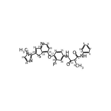 CC(C(=O)Nc1ccccc1)C(=O)Nc1ccc(Oc2ccnc3cc(-c4nccn4C)sc23)c(F)c1